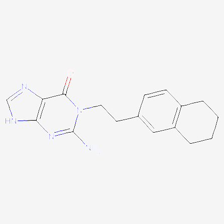 Nc1nc2[nH]cnc2c(=O)n1CCc1ccc2c(c1)CCCC2